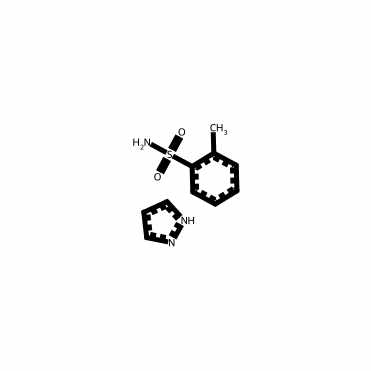 Cc1ccccc1S(N)(=O)=O.c1cn[nH]c1